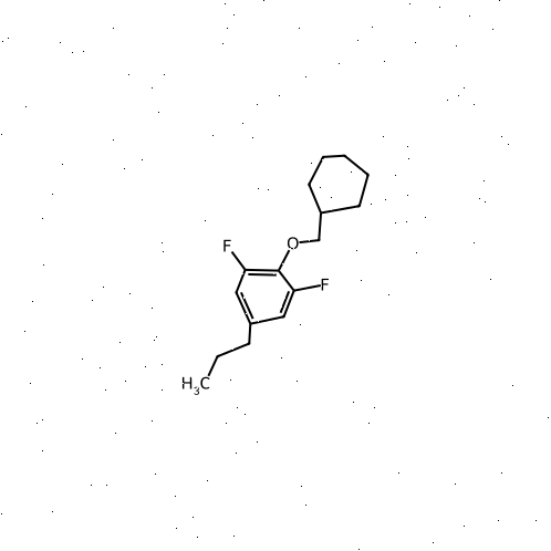 CCCc1cc(F)c(OCC2CCCCC2)c(F)c1